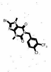 Cn1c(Br)nc2c1c(=O)n(Cc1ccc(Cl)c(C(F)(F)F)c1)c(=O)n2C